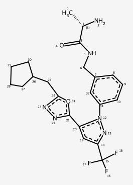 C[C@H](N)C(=O)NCc1cccc(-n2nc(C(F)(F)F)cc2-c2nnc(CC3CCCC3)o2)c1